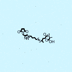 CC(CCC(=O)N(C)[C@@H](C)C(=O)O)SSCCCCn1cc(CN2C(=O)C=CC2=O)nn1